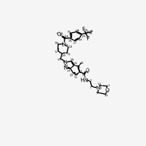 Cc1c(C(=O)NCCN2CCOCC2)ccc2nn(CC3CCN(C(=O)c4ccc(C(F)(F)F)cc4)CC3)cc12